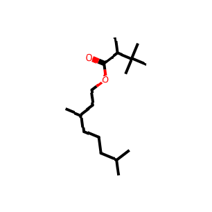 CC(C)CCCC(C)CCOC(=O)C(C)C(C)(C)C